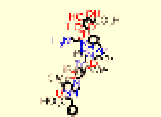 CC[C@H](C)[C@@H]([C@@H](CC(=O)N1CCCC1[C@H](OC)[C@@H](C)C(=O)N[C@@H](Cc1ccccc1)C(=O)O)OC)N(C)C(=O)C(NC(=O)C(C(C)C)[N+](C)(C)Cc1ccc(O[C@@H]2O[C@H](C(=O)O)[C@@H](O)[C@H](O)[C@H]2O)c(NC(=O)CCN)c1)C(C)C